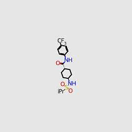 CC(C)S(=O)(=O)N[C@H]1CC[C@H](C(=O)Nc2ccc(C(F)(F)F)cc2)CC1